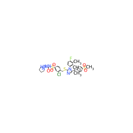 Cc1cc(-n2c(C(C)(C)c3ccc(S(C)(=O)=O)cc3)cnc2SCc2ccc(S(=O)(=O)NC(=O)NN3CCCC3)cc2Cl)ccc1F